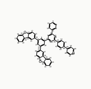 c1ccc(-c2cc(-c3cc(-c4ccc5oc6ccccc6c5c4)cc(-c4ccc5oc6ccccc6c5c4)c3)nc(-c3ccc(-c4ccncc4)cc3)n2)cc1